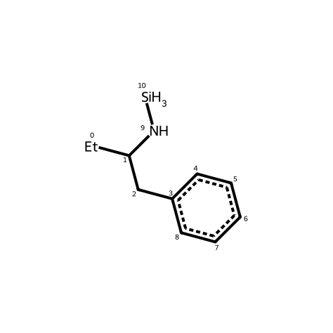 CCC(Cc1ccccc1)N[SiH3]